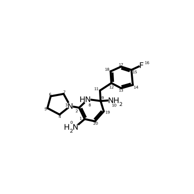 NC1=C(N2CCCC2)NC(N)(Cc2ccc(F)cc2)C=C1